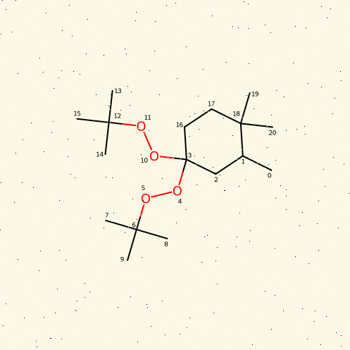 CC1CC(OOC(C)(C)C)(OOC(C)(C)C)CCC1(C)C